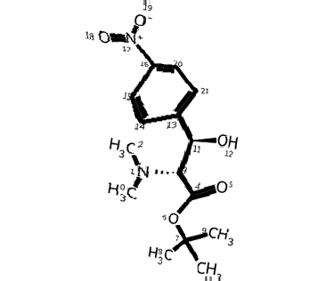 CN(C)[C@@H](C(=O)OC(C)(C)C)[C@H](O)c1ccc([N+](=O)[O-])cc1